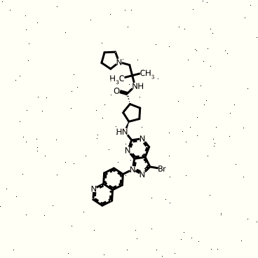 CC(C)(CN1CCCC1)NC(=O)[C@@H]1CC[C@@H](Nc2ncc3c(Br)nn(-c4ccc5ncccc5c4)c3n2)C1